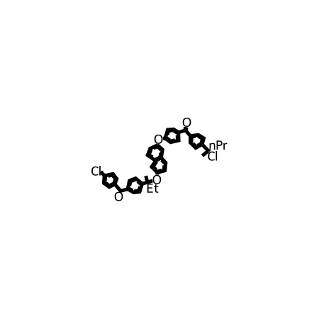 CCCC(C)(Cl)c1ccc(C(=O)c2ccc(Oc3ccc4cc(OC(C)(CC)c5ccc(C(=O)c6ccc(Cl)cc6)cc5)ccc4c3)cc2)cc1